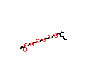 C=CC(=O)OCCOCCOCCOCCOCCOCC(CC)CCCC